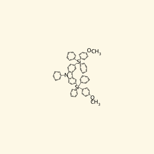 COc1ccc([Si](c2ccccc2)(c2ccccc2)c2ccc3c(c2)c2cc([Si](c4ccccc4)(c4ccccc4)c4ccc(OC)cc4)ccc2n3-c2ccccc2)cc1